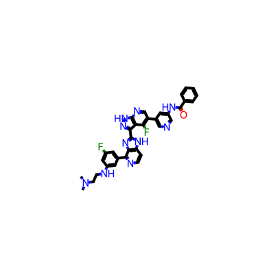 CN(C)CCNc1cc(F)cc(-c2nccc3[nH]c(-c4n[nH]c5ncc(-c6cncc(NC(=O)c7ccccc7)c6)c(F)c45)nc23)c1